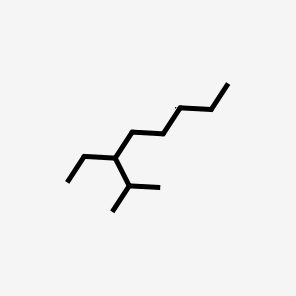 CC[CH]CCC(CC)C(C)C